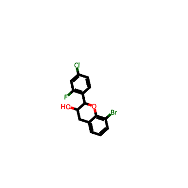 OC1Cc2cccc(Br)c2OC1c1ccc(Cl)cc1F